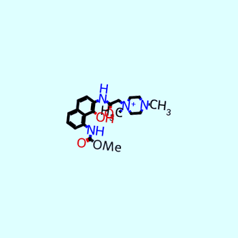 COC(=O)Nc1cccc2ccc(NC(=O)C[N+]3(C)CCN(C)CC3)c(O)c12